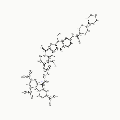 CCc1c2c(nc3ccc(OC(=O)N4CCC(N5CCCCC5)CC4)cc13)-c1cc3c(c(=O)n1C2)COC(=O)[C@@]3(CC)OC(=O)CO/N=C1/c2cc([N+](=O)[O-])ccc2-c2c1cc([N+](=O)[O-])cc2[N+](=O)[O-]